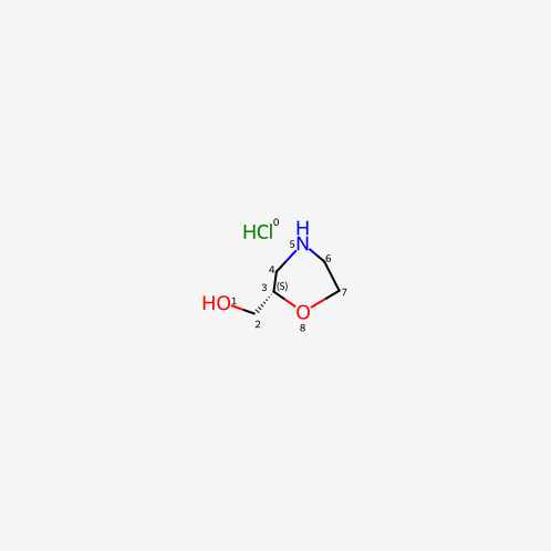 Cl.OC[C@@H]1CNCCO1